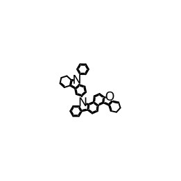 C1=Cc2c(n(-c3ccccc3)c3ccc(-n4c5ccccc5c5ccc6c(ccc7oc8c(c76)=CCCC=8)c54)cc23)CC1